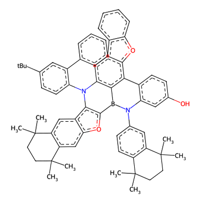 CC(C)(C)c1ccc(N2c3cc4c(oc5ccccc54)c4c3B(c3oc5cc6c(cc5c32)C(C)(C)CCC6(C)C)N(c2ccc3c(c2)C(C)(C)CCC3(C)C)c2cc(O)ccc2-4)c(-c2ccccc2)c1